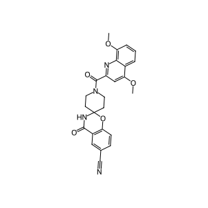 COc1cc(C(=O)N2CCC3(CC2)NC(=O)c2cc(C#N)ccc2O3)nc2c(OC)cccc12